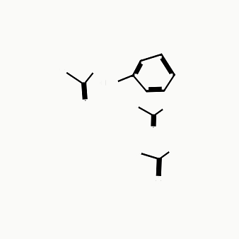 CC(=O)O.CC(=O)O.CC(=O)O.[SnH][c]1ccccc1